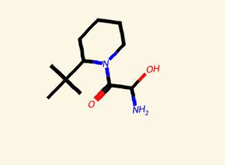 CC(C)(C)C1CCCCN1C(=O)C(N)O